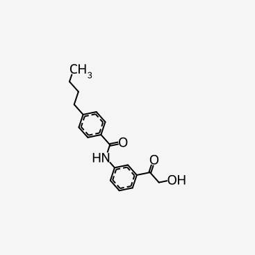 CCCCc1ccc(C(=O)Nc2cccc(C(=O)CO)c2)cc1